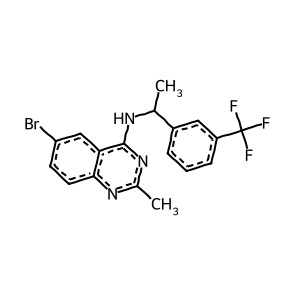 Cc1nc(NC(C)c2cccc(C(F)(F)F)c2)c2cc(Br)ccc2n1